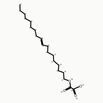 CCCCCCCC/C=C/CCCCCCCCOC(=O)C(=O)Cl